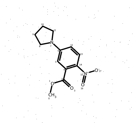 COC(=O)c1cc(N2CCCC2)ccc1[N+](=O)[O-]